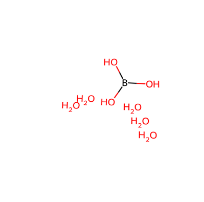 O.O.O.O.O.OB(O)O